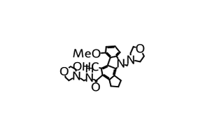 COc1cccc2c1c1c(C=O)c(C(=O)NCN3CCOCC3)c3c(c1n2CN1CCOCC1)CCC3